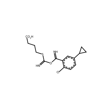 N=C(OC(=N)c1cc(C2CC2)ccc1Cl)SCCCC(=O)O